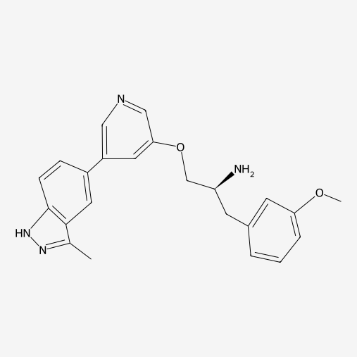 COc1cccc(C[C@H](N)COc2cncc(-c3ccc4[nH]nc(C)c4c3)c2)c1